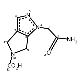 NC(=O)Cn1ncc2c1CN(C(=O)O)C2